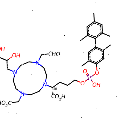 Cc1cc(C)c(-c2cc(C)c(OP(=O)(O)OCCC[C@H](C(=O)O)N3CCN(CC=O)CCN(CC(O)CO)CCN(CC(=O)O)CC3)cc2C)c(C)c1